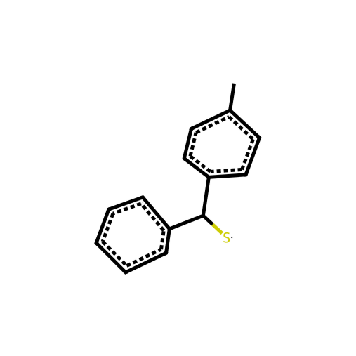 Cc1ccc(C([S])c2ccccc2)cc1